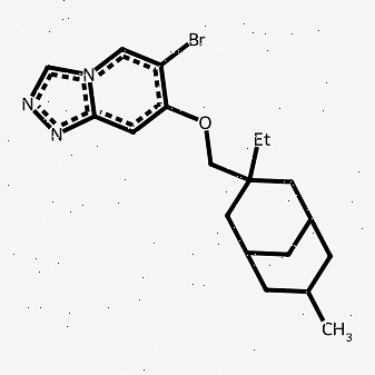 CCC1(COc2cc3nncn3cc2Br)CC2CC(C)CC(C2)C1